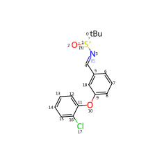 CC(C)(C)[S@@+]([O-])/N=C/c1cccc(Oc2ccccc2Cl)c1